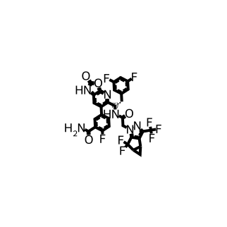 NC(=O)c1cc(-c2cc3[nH]c(=O)oc3nc2[C@H](Cc2cc(F)cc(F)c2)NC(=O)Cn2nc(C(F)(F)F)c3c2C(F)(F)C2CC32)ccc1F